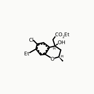 CCOC(=O)C[C@]1(O)C[C@@H](C)Oc2cc(CC)c(Cl)cc21